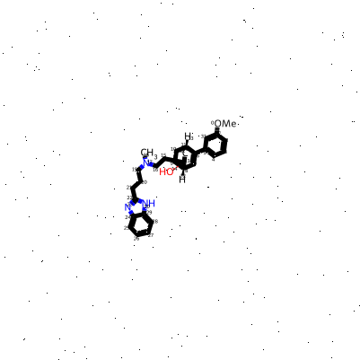 COc1cccc(C2=C[C@@H]3CC[C@H]2C[C@]3(O)CCN(C)CCCc2nc3ccccc3[nH]2)c1